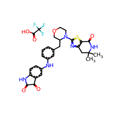 CC1(C)Cc2nc(N3CCOCC3Cc3cccc(Nc4ccc5c(c4)C(=O)C(=O)N5)c3)sc2C(=O)N1.O=C(O)C(F)(F)F